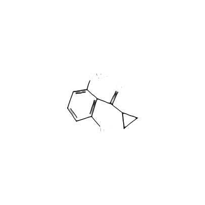 CCCc1cccc(OC)c1C(=O)C1CC1